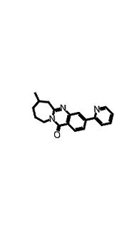 CC1CCCn2c(nc3cc(-c4ccccn4)ccc3c2=O)C1